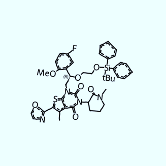 COc1ccc(F)cc1[C@H](Cn1c(=O)n(C2CCCN(C)C2=O)c(=O)c2c(C)c(-c3ncco3)sc21)OCCO[Si](c1ccccc1)(c1ccccc1)C(C)(C)C